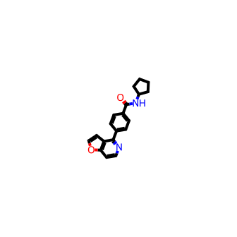 O=C(NC1CCCC1)c1ccc(-c2nccc3occc23)cc1